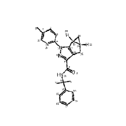 Cc1ccc(-n2nc(C(=O)NC(C)(C)c3ccccc3)c3c2[C@@H]2C[C@@H]2C3)nc1